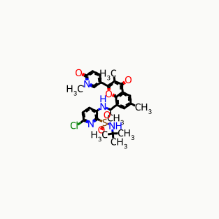 Cc1cc([C@@H](C)Nc2ccc(Cl)nc2S(=O)(=O)NC(C)(C)C)c2oc(-c3ccc(=O)n(C)c3)c(C)c(=O)c2c1